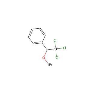 CC(C)OC(c1ccccc1)[Si](Cl)(Cl)Cl